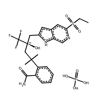 CCS(=O)(=O)c1cc2cc(C[C@](O)(CC(C)(C)c3ccccc3C(N)=O)C(F)(F)F)[nH]c2cn1.O=P(O)(O)O